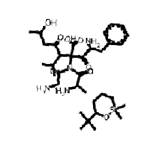 CC(C)(C)C1CCC[Si](C)(C)O1.CC(O)CC(=O)C(C(C)C)C(C(=O)O)(C(=O)C(N)Cc1ccccc1)N(C(=O)CN)C(=O)C(C)N